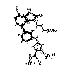 CNCCCn1c(=O)[nH]c2c(F)ccc(-c3cccc(O[C@H]4C[C@@H](C(=O)O)N(C(=O)OC(C)(C)C)C4)c3)c21